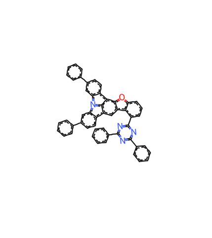 c1ccc(-c2ccc3c4cc5c(oc6cccc(-c7nc(-c8ccccc8)nc(-c8ccccc8)n7)c65)c5c6ccc(-c7ccccc7)cc6n(c3c2)c45)cc1